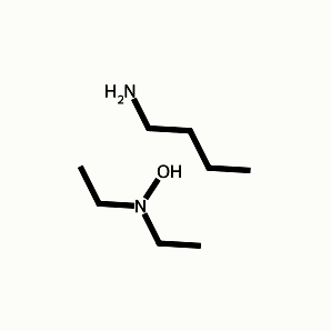 CCCCN.CCN(O)CC